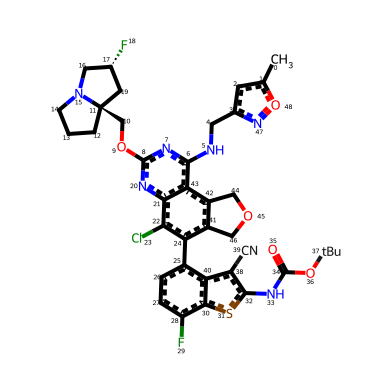 Cc1cc(CNc2nc(OC[C@@]34CCCN3C[C@H](F)C4)nc3c(Cl)c(-c4ccc(F)c5sc(NC(=O)OC(C)(C)C)c(C#N)c45)c4c(c23)COC4)no1